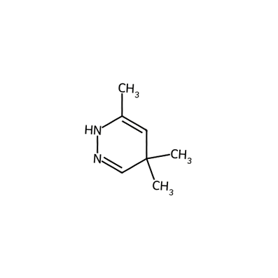 CC1=CC(C)(C)C=NN1